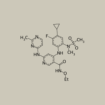 CCONC(=O)c1cnc(Nc2ccnc(C)n2)cc1Nc1cc(F)c(C2CC2)cc1N(C)S(C)(=O)=O